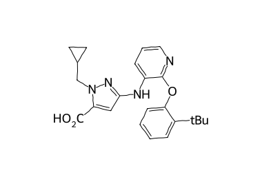 CC(C)(C)c1ccccc1Oc1ncccc1Nc1cc(C(=O)O)n(CC2CC2)n1